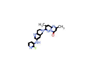 Cc1cc(=O)n2nc(N3CCc4ncc(Nc5cccnc5F)cc4C3)c(C)cc2n1